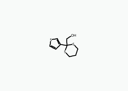 OCC1(c2ccsc2)SCCCS1